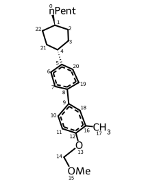 CCCCC[C@H]1CC[C@H](c2ccc(-c3ccc(OCOC)c(C)c3)cc2)CC1